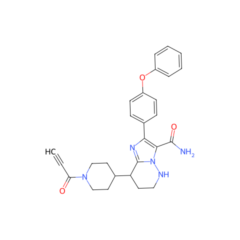 C#CC(=O)N1CCC(C2CCNn3c2nc(-c2ccc(Oc4ccccc4)cc2)c3C(N)=O)CC1